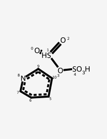 O=[SH](=O)OS(=O)(=O)O.c1ccncc1